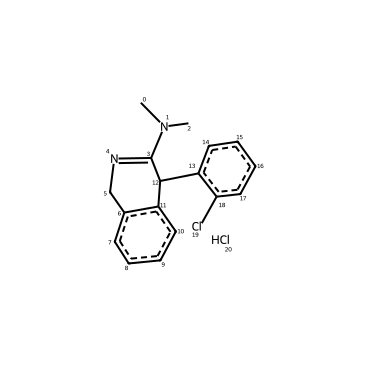 CN(C)C1=NCc2ccccc2C1c1ccccc1Cl.Cl